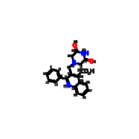 O=C1CN(Cc2c(-c3ccccc3)nc3ccccc3c2C(=O)O)CC(=O)N1